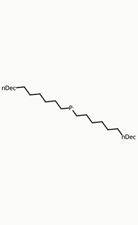 CCCCCCCCCCCCCCCC[P]CCCCCCCCCCCCCCCC